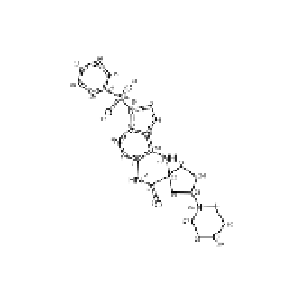 O=C1Nc2cnc3c(ccn3S(=O)(=O)c3ccccc3)c2NC12CCC(N1CCOCC1)C2